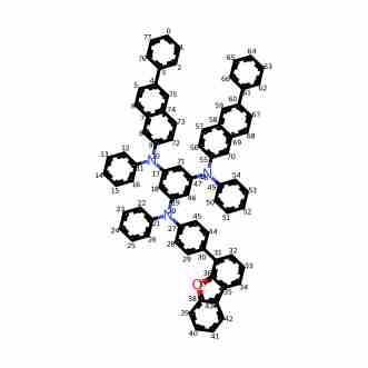 c1ccc(-c2ccc3cc(N(c4ccccc4)c4cc(N(c5ccccc5)c5ccc(-c6cccc7c6oc6ccccc67)cc5)cc(N(c5ccccc5)c5ccc6cc(-c7ccccc7)ccc6c5)c4)ccc3c2)cc1